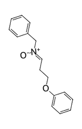 [O-][N+](=CCCOc1ccccc1)Cc1ccccc1